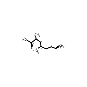 C=CCCC(C)CC(C)C(=O)O